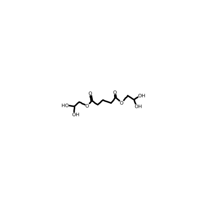 O=C(CCCC(=O)OCC(O)O)OCC(O)O